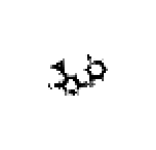 CN1CCCC(Nc2cc(C3CC3)c(Cl)nn2)C1